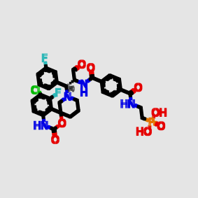 O=CC(NC(=O)c1ccc(C(=O)NCCP(=O)(O)O)cc1)[C@@H](c1cccc(F)c1)N1CCCC2(C1)OC(=O)Nc1ccc(Cl)c(F)c12